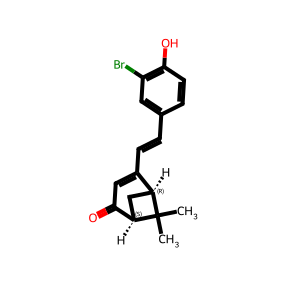 CC1(C)[C@@H]2C[C@H]1C(C=Cc1ccc(O)c(Br)c1)=CC2=O